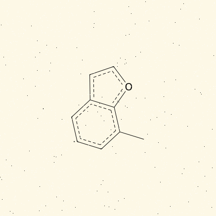 Cc1c[c]cc2ccoc12